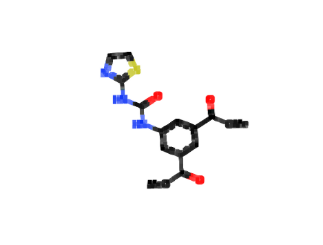 COC(=O)c1cc(NC(=O)Nc2nccs2)cc(C(=O)OC)c1